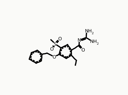 CCc1cc(OCc2ccccc2)c(S(C)(=O)=O)cc1C(=O)N=C(N)N